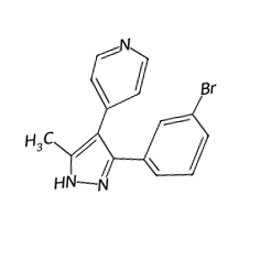 Cc1[nH]nc(-c2cccc(Br)c2)c1-c1ccncc1